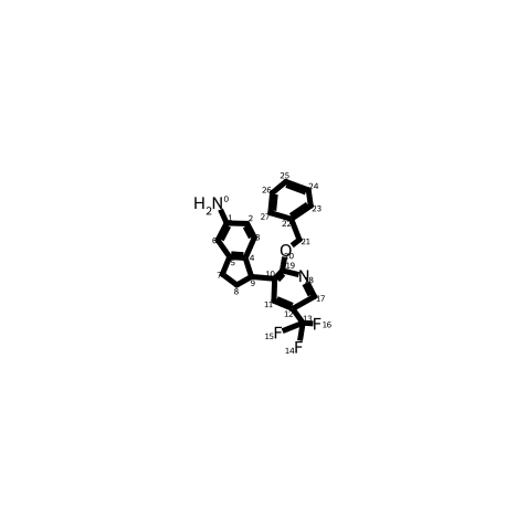 Nc1ccc2c(c1)CCC2c1cc(C(F)(F)F)cnc1OCc1ccccc1